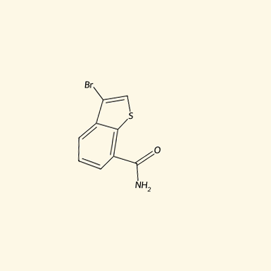 NC(=O)c1cccc2c(Br)csc12